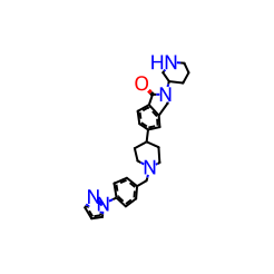 O=C1c2ccc(C3CCN(Cc4ccc(-n5cccn5)cc4)CC3)cc2CN1C1CCCNC1